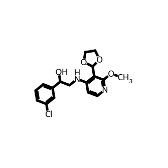 COc1nccc(NCC(O)c2cccc(Cl)c2)c1C1OCCO1